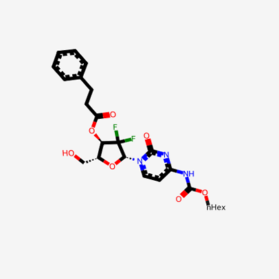 CCCCCCOC(=O)Nc1ccn([C@@H]2O[C@H](CO)[C@@H](OC(=O)CCc3ccccc3)C2(F)F)c(=O)n1